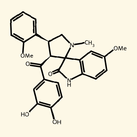 COc1ccc2c(c1)C1(C(=O)N2)[C@@H](C(=O)c2ccc(O)c(O)c2)[C@@H](c2ccccc2OC)CN1C